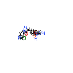 O=C(Nc1ccc2cncc(Cl)c2c1)C1CC1c1ccc(S(=O)(=O)NC2CCNC2)cc1